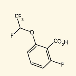 O=C(O)c1c(F)cccc1OC(F)C(F)(F)F